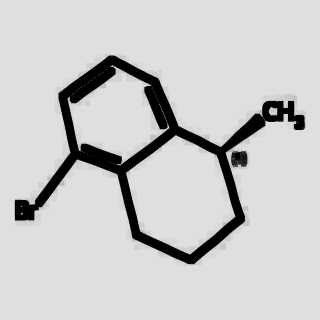 C[C@H]1CCCc2c(Br)cccc21